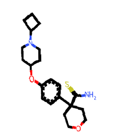 NC(=S)C1(c2ccc(OC3CCN(C4CCC4)CC3)cc2)CCOCC1